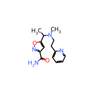 CC(c1cc(C(N)=O)no1)N(C)CCc1ccccn1